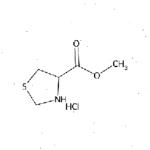 COC(=O)C1CSCN1.Cl